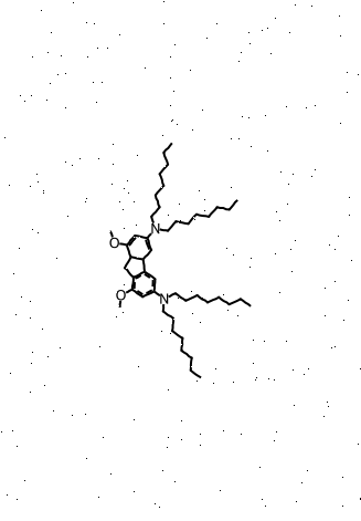 CCCCCCCCN(CCCCCCCC)C1=CC2c3cc(N(CCCCCCCC)CCCCCCCC)cc(OC)c3CC2C(OC)=C1